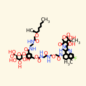 C#CC(CCCCCC)OCC(=O)NCCNC(=O)c1cc(COC(=O)NCC(=O)NCOCC(=O)N[C@H]2CCc3c(C)c(F)cc4nc5c(c2c34)Cn2c-5cc3c(c2=O)COC(=O)[C@]3(O)[C@@H](C)O)ccc1O[C@@H]1O[C@H](C(=O)O)[C@@H](O)[C@H](O)[C@H]1O